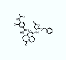 CC(=O)Nc1ccc(C(=O)N[C@H]2CCC(=O)N3CCC[C@@H](C(=O)N[C@H]4CC(=O)OC4OCc4ccccc4)N3C2=O)cc1Cl